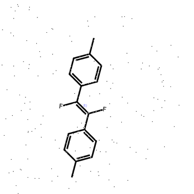 Cc1ccc(/C(F)=C(\F)c2ccc(C)cc2)cc1